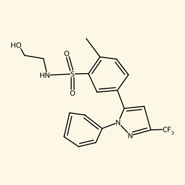 Cc1ccc(-c2cc(C(F)(F)F)nn2-c2ccccc2)cc1S(=O)(=O)NCCO